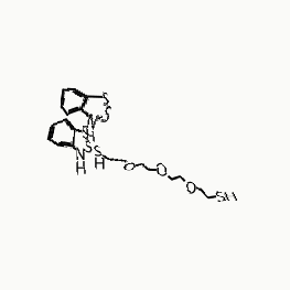 SCCOCCOCCOCCS.c1ccc2c(c1)NSS2.c1ccc2c(c1)NSS2